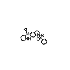 O=S(=O)(c1ccccc1)N1CCc2cc(N(C3CC3)C3CCCCN3)ccc21